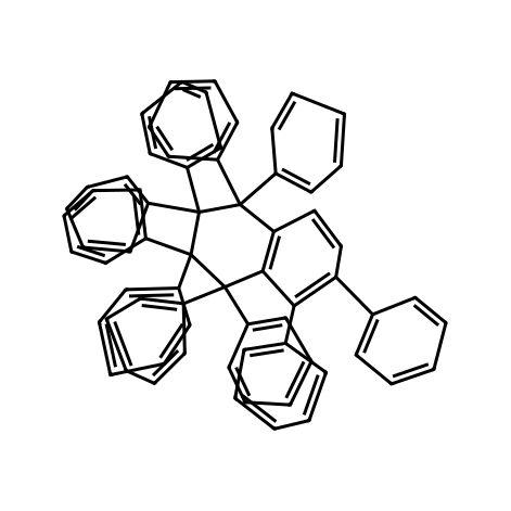 c1ccc(-c2ccc3c(c2-c2ccccc2)C(c2ccccc2)(c2ccccc2)C(c2ccccc2)(c2ccccc2)C(c2ccccc2)(c2ccccc2)C3(c2ccccc2)c2ccccc2)cc1